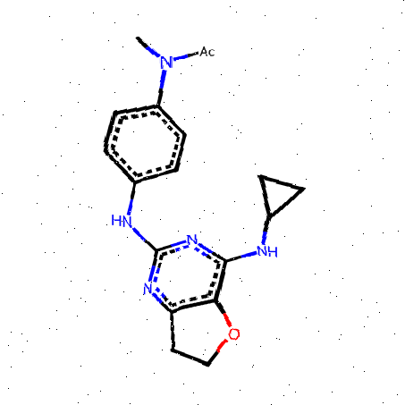 CC(=O)N(C)c1ccc(Nc2nc3c(c(NC4CC4)n2)OCC3)cc1